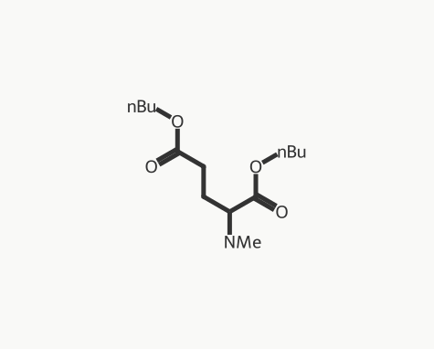 CCCCOC(=O)CCC(NC)C(=O)OCCCC